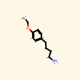 CC(=O)COc1ccc(CCCCN)cc1